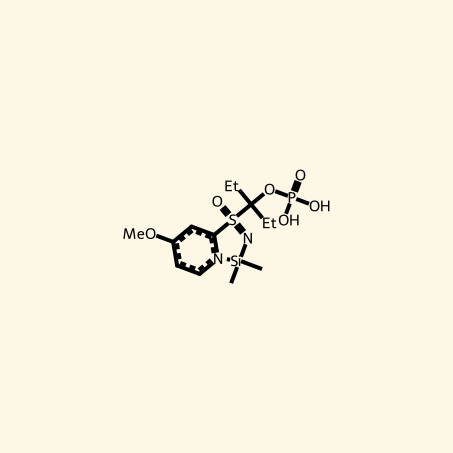 CCC(CC)(OP(=O)(O)O)S(=O)(=N[Si](C)(C)C)c1cc(OC)ccn1